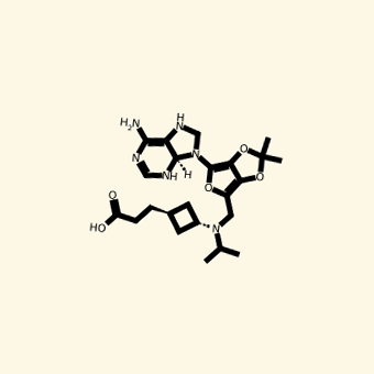 CC(C)N(Cc1oc(N2CNC3=C(N)N=CN[C@@H]32)c2c1OC(C)(C)O2)[C@H]1C[C@H](CCC(=O)O)C1